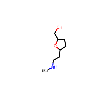 CC(C)(C)NCCC1CCC(CO)O1